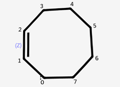 [C]1/C=C\CCCCC1